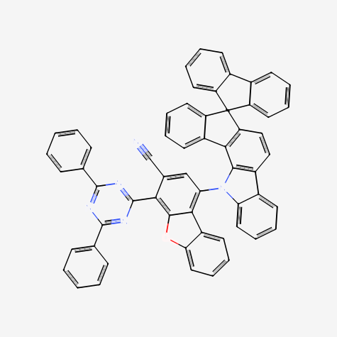 N#Cc1cc(-n2c3ccccc3c3ccc4c(c32)-c2ccccc2C42c3ccccc3-c3ccccc32)c2c(oc3ccccc32)c1-c1nc(-c2ccccc2)nc(-c2ccccc2)n1